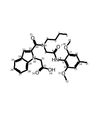 CCCCN(CC(=O)Nc1c(OC)cc(C)cc1OC)C(=O)c1cc2ccccc2n1CC(=O)O